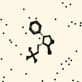 O=C1OC[C@@H](c2ccccc2)[C@H]1CCC(F)(F)F